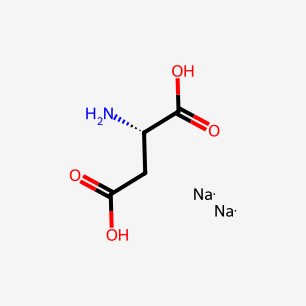 N[C@@H](CC(=O)O)C(=O)O.[Na].[Na]